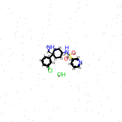 Cl.NC[C@]1(c2cccc(Cl)c2)CC[C@H](NS(=O)(=O)c2cccnc2)CC1